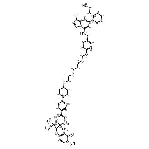 CCc1cnn2c(NCc3ccc(OCCOCCOCCOC4CCN(c5ccc(C(=O)N[C@H]6C(C)(C)[C@H](Oc7ccc(C#N)c(Cl)c7)C6(C)C)nn5)CC4)nc3)cc(N3CCCC[C@H]3CCO)nc12